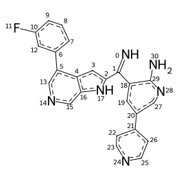 N=C(c1cc2c(-c3cccc(F)c3)cncc2[nH]1)c1cc(-c2ccncc2)cnc1N